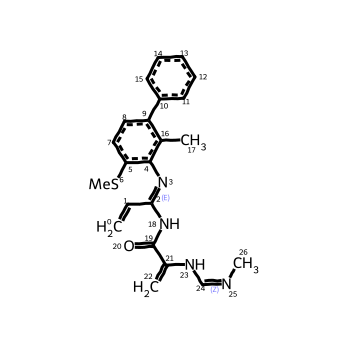 C=C/C(=N\c1c(SC)ccc(-c2ccccc2)c1C)NC(=O)C(=C)N/C=N\C